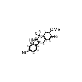 CO[C@@H]1CC2=C(C=C1Br)Cc1c([nH]c3cc(C#N)ccc13)C2(C)C